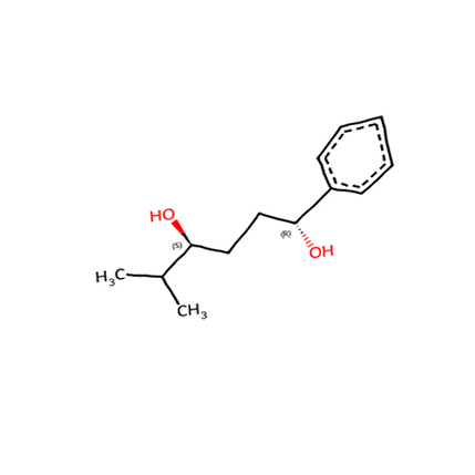 CC(C)[C@@H](O)CC[C@@H](O)c1ccccc1